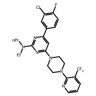 CCCN(CC)c1nc(-c2ccc(F)c(Cl)c2)cc(N2CCN(c3ncccc3C(F)(F)F)CC2)n1